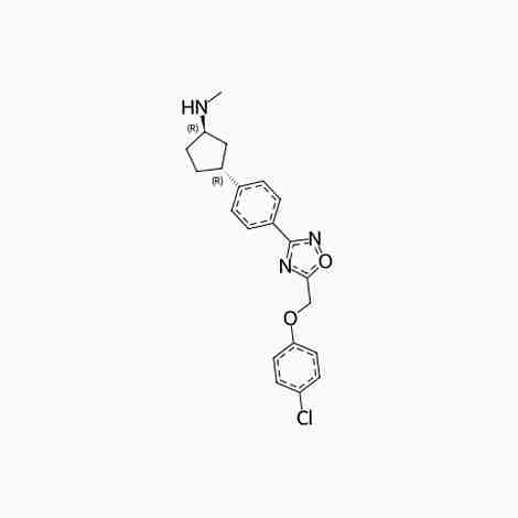 CN[C@@H]1CC[C@@H](c2ccc(-c3noc(COc4ccc(Cl)cc4)n3)cc2)C1